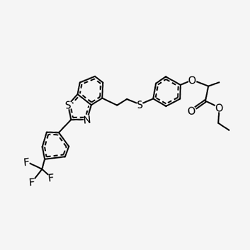 CCOC(=O)C(C)Oc1ccc(SCCc2cccc3sc(-c4ccc(C(F)(F)F)cc4)nc23)cc1